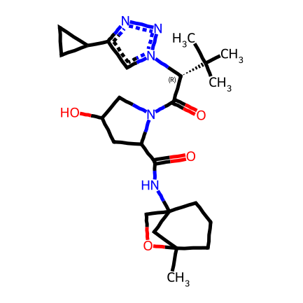 CC12CCCC(NC(=O)C3CC(O)CN3C(=O)[C@H](n3cc(C4CC4)nn3)C(C)(C)C)(CO1)C2